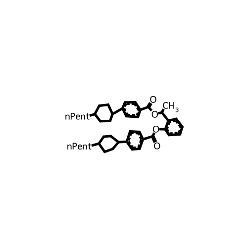 CCCCCC1CCC(c2ccc(C(=O)Oc3ccccc3C(C)OC(=O)c3ccc(C4CCC(CCCCC)CC4)cc3)cc2)CC1